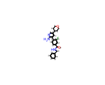 Nc1ncc(C2CCOCC2)cc1-c1ccc(C(=O)NCc2ccccc2)cc1F